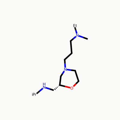 CCN(C)CCCN1CCO[C@H](CNC(C)C)C1